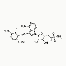 COc1cnc(OC)c(F)c1C#Cc1cn([C@@H]2O[C@H](CNS(N)(=O)=O)[C@@H](O)[C@H]2O)c2ncnc(N)c12